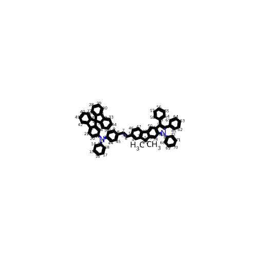 CC1(C)c2cc(/C=C/c3ccc(N(c4ccccc4)c4ccc5c(c4)C4(c6ccccc6-c6ccccc64)c4ccccc4-5)cc3)ccc2-c2cc3c(-c4ccccc4)c(-c4ccccc4)n(-c4ccccc4)c3cc21